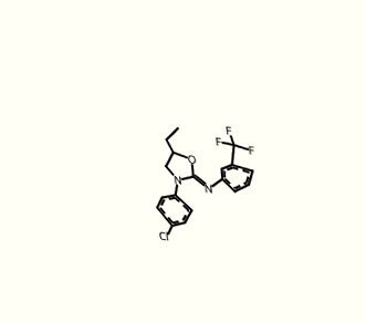 CCC1CN(c2ccc(Cl)cc2)C(=Nc2cccc(C(F)(F)F)c2)O1